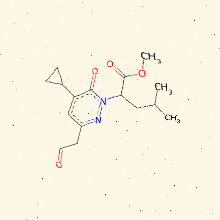 COC(=O)C(CC(C)C)n1nc(CC=O)cc(C2CC2)c1=O